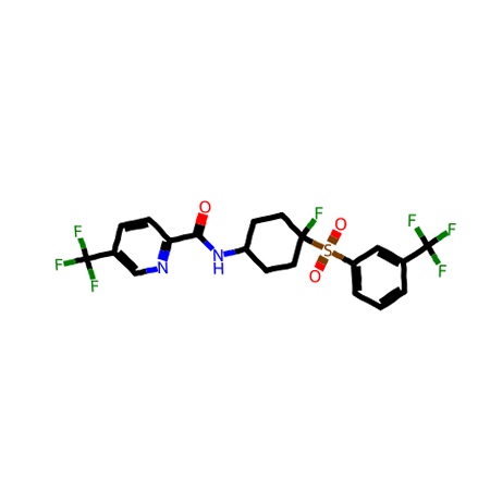 O=C(NC1CCC(F)(S(=O)(=O)c2cccc(C(F)(F)F)c2)CC1)c1ccc(C(F)(F)F)cn1